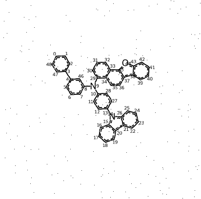 c1ccc(-c2cccc(N(c3ccc(-n4c5ccccc5c5ccccc54)cc3)c3cccc4c3ccc3c5ccccc5oc43)c2)cc1